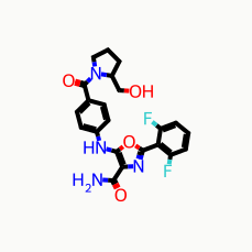 NC(=O)c1nc(-c2c(F)cccc2F)oc1Nc1ccc(C(=O)N2CCCC2CO)cc1